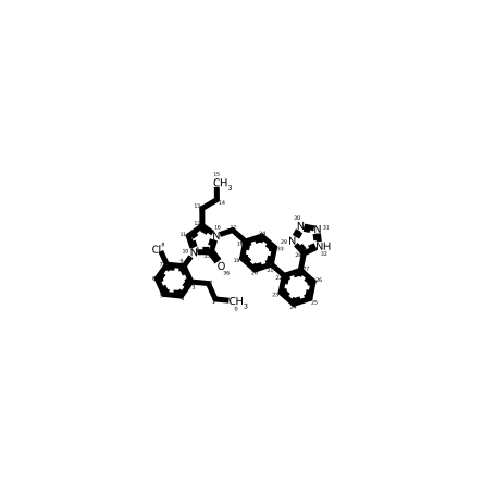 CCCc1cccc(Cl)c1-n1cc(CCC)n(Cc2ccc(-c3ccccc3-c3nnn[nH]3)cc2)c1=O